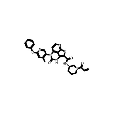 C=CC(=O)N1CCC[C@@H](NC(=O)c2sc3nccc4c3c2NC(=O)N4c2cnc(Oc3ccccc3)cc2C)C1